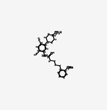 COc1ccccc1CCCCC(=O)Nc1cc(C2CCN(C(=O)O)CC2)c(F)cc1F